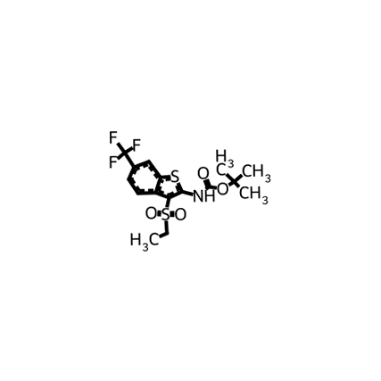 CCS(=O)(=O)c1c(NC(=O)OC(C)(C)C)sc2cc(C(F)(F)F)ccc12